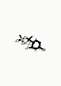 CC(OS(C)(=O)=O)(c1ccc(Br)cc1F)C(F)(F)F